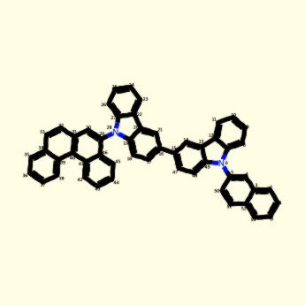 c1ccc2cc(-n3c4ccccc4c4cc(-c5ccc6c(c5)c5ccccc5n6-c5cc6ccc7ccccc7c6c6ccccc56)ccc43)ccc2c1